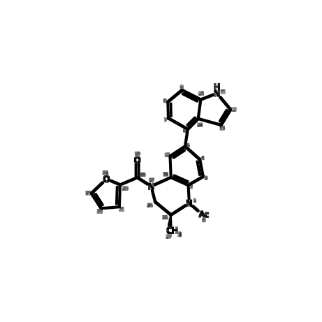 CC(=O)N1c2ccc(-c3cccc4[nH]ccc34)cc2N(C(=O)c2ccco2)C[C@@H]1C